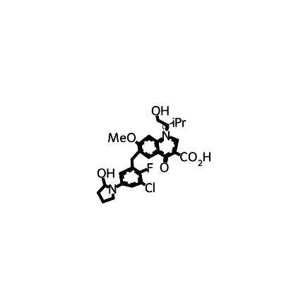 COc1cc2c(cc1Cc1cc(N3CCCC3O)cc(Cl)c1F)c(=O)c(C(=O)O)cn2[C@H](CO)C(C)C